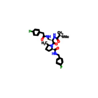 CN[C@@H](C)C(=O)N[C@@H](CNC(=O)Cc1ccc(F)cc1)C(=O)N1C(C)CC[C@H]1C(=O)NCc1ccc(F)cc1